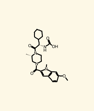 COc1ccc2cc(C(=O)N3CCN(C(=O)[C@@H](NC(=O)O)C4CCCCC4)[C@@H](C)C3)n(C)c2c1